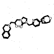 O=C1N(Cc2ccc(N3C4CCC3COC4)cn2)CCN1CC(O)CN1CCc2ccccc2C1